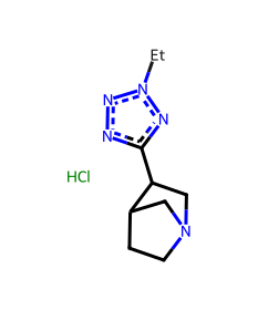 CCn1nnc(C2CN3CCC2C3)n1.Cl